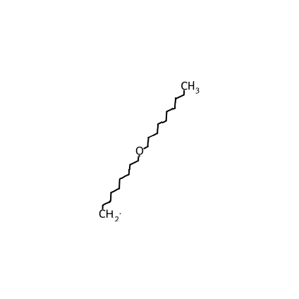 [CH2]CCCCCCCCOCCCCCCCCCC